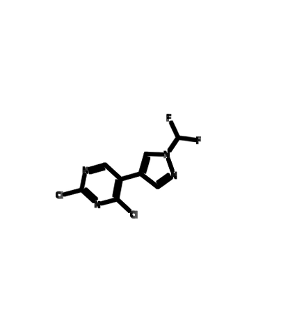 FC(F)n1cc(-c2cnc(Cl)nc2Cl)cn1